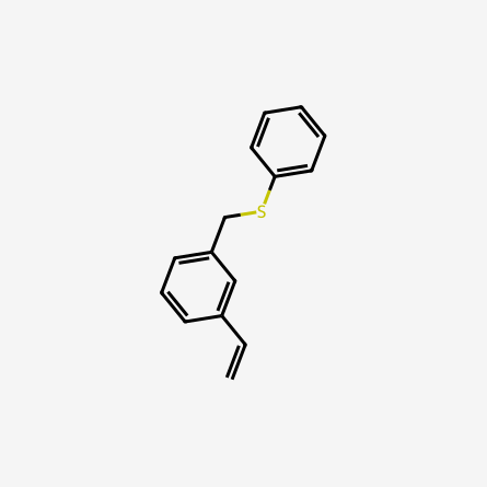 C=Cc1cccc(CSc2ccccc2)c1